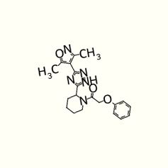 Cc1noc(C)c1-c1n[nH]c(C2CCCCN2C(=O)COc2ccccc2)n1